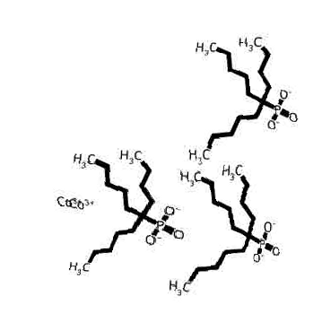 CCCCCC(CCCC)(CCCCC)P(=O)([O-])[O-].CCCCCC(CCCC)(CCCCC)P(=O)([O-])[O-].CCCCCC(CCCC)(CCCCC)P(=O)([O-])[O-].[Co+3].[Co+3]